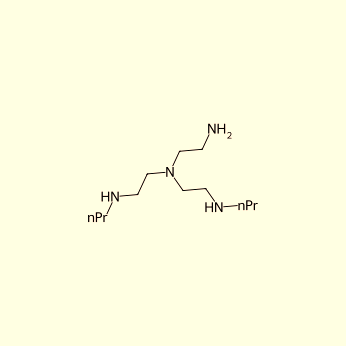 CCCNCCN(CCN)CCNCCC